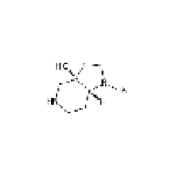 CC(C)N1CC[C@@]2(O)CNCC[C@@H]12